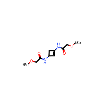 CC(C)(C)OCC(=O)NC1=C[C@@H](NC(=O)COC(C)(C)C)C1